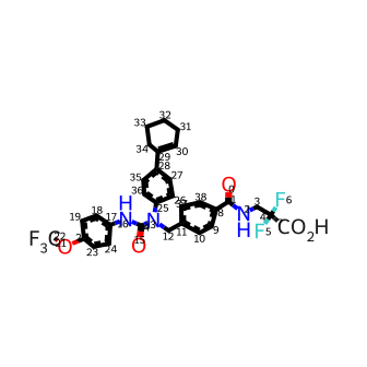 O=C(NCC(F)(F)C(=O)O)c1ccc(CN(C(=O)Nc2ccc(OC(F)(F)F)cc2)c2ccc(C3=CCCCC3)cc2)cc1